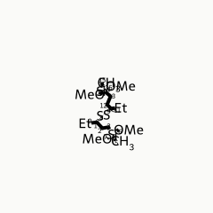 CCC(CC[Si](C)(OC)OC)SSC(CC)CC[Si](C)(OC)OC